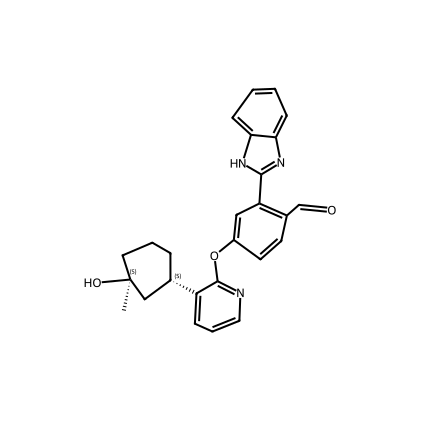 C[C@]1(O)CCC[C@H](c2cccnc2Oc2ccc(C=O)c(-c3nc4ccccc4[nH]3)c2)C1